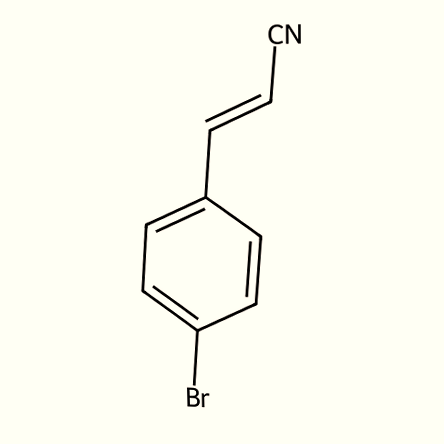 N#CC=Cc1ccc(Br)cc1